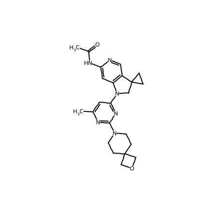 CC(=O)Nc1cc2c(cn1)C1(CC1)CN2c1cc(C)nc(N2CCC3(CC2)COC3)n1